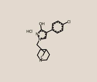 Cl.Oc1nn(CC2CN3CCC2CC3)cc1-c1ccc(Cl)cc1